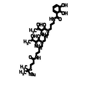 CCCCC(C)(C)SCCC(=O)NCCCCN(CCCN(CCCNC(=O)c1cccc(O)c1O)C(=O)C(N)[C@@H](C)O)C(=O)[C@@H](N)C(C)O